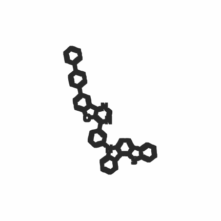 c1ccc(-c2ccc(-c3ccc4oc5c(-c6cccc(-n7c8ccccc8c8c9sc%10ccccc%10c9ccc87)c6)ncnc5c4c3)cc2)cc1